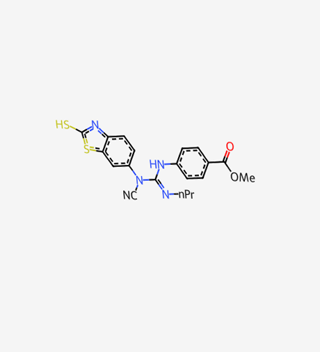 CCCN=C(Nc1ccc(C(=O)OC)cc1)N(C#N)c1ccc2nc(S)sc2c1